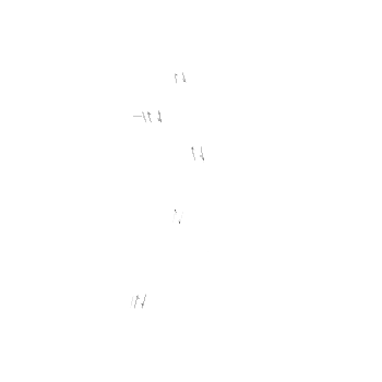 C1=CN(N2CCNCC2)NN=C1